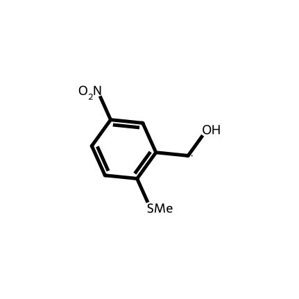 CSc1ccc([N+](=O)[O-])cc1[CH]O